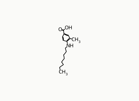 CCCCCCCCNc1ccc(C(=O)O)cc1C